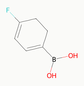 OB(O)C1=CC=C(F)CC1